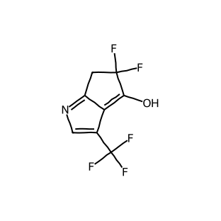 OC1=C2C(C(F)(F)F)=CN=C2CC1(F)F